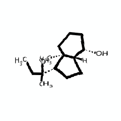 CCC(C)(C)[C@H]1CC[C@H]2[C@@H](O)CCC[C@]12C